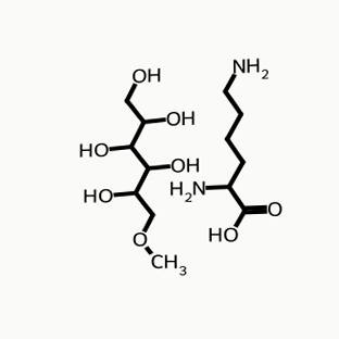 COCC(O)C(O)C(O)C(O)CO.NCCCCC(N)C(=O)O